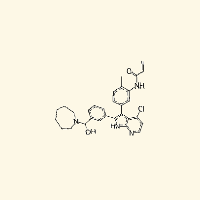 C=CC(=O)Nc1cc(-c2c(-c3cccc(C(O)N4CCCCCC4)c3)[nH]c3nccc(Cl)c23)ccc1C